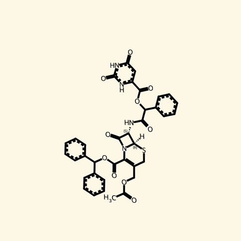 CC(=O)OCC1=C(C(=O)OC(c2ccccc2)c2ccccc2)N2C(=O)[C@H](NC(=O)C(OC(=O)c3cc(=O)[nH]c(=O)[nH]3)c3ccccc3)[C@H]2SC1